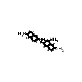 Nc1ccc2cc(NCc3cc(N)c4cc(N)ccc4c3)ccc2c1